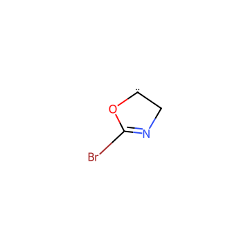 BrC1=NC[C]O1